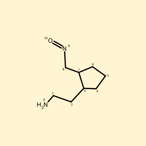 NCCC1CCCC1CN=O